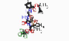 CC(OC(=O)c1ccccc1NCC(=O)NC1C(=O)N2C(C(=O)OCC(Cl)(Cl)Cl)C(C)(C)[S+]([O-])[C@H]12)C1CC1